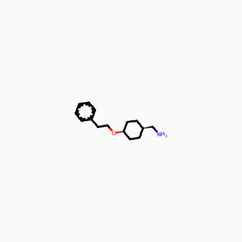 NC[C@H]1CC[C@@H](OCCc2ccccc2)CC1